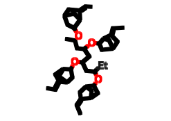 C/C=C1/CC2CC1CC2OC(CC)CC(CC(CC(C)OC1CC2C/C(=C/C)C1C2)OC1CC2C/C(=C\C)C1C2)OC1CC2CC1C/C2=C\C